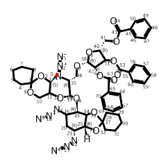 C[C@@H]1OC2(CCCCC2)OCC1O[C@H](O[C@@H]1C(N=[N+]=[N-])C[C@@H](N=[N+]=[N-])[C@H]2OC3(CCCCC3)OC12)[C@@H](CO[C@@H]1O[C@H](COC(=O)c2ccccc2)C(OC(=O)c2ccccc2)[C@@H]1OC(=O)c1ccccc1)N=[N+]=[N-]